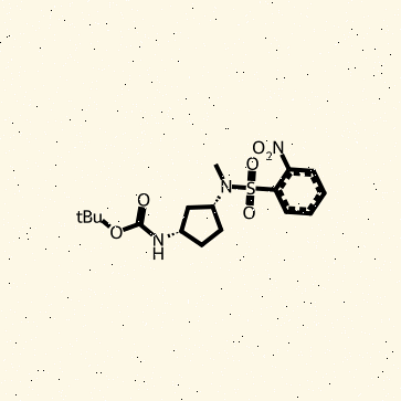 CN([C@@H]1CC[C@H](NC(=O)OC(C)(C)C)C1)S(=O)(=O)c1ccccc1[N+](=O)[O-]